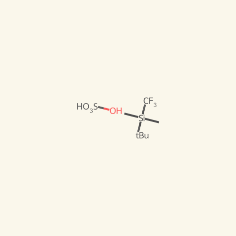 CC(C)(C)[Si](C)(C)C(F)(F)F.O=S(=O)(O)O